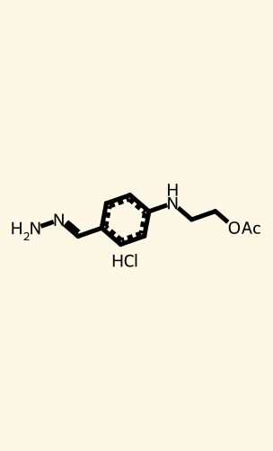 CC(=O)OCCNc1ccc(C=NN)cc1.Cl